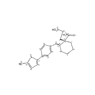 CC(C[C@@]1(C(N)=O)CCCC[C@H]1Oc1ccc(-c2ccc(C#N)s2)nc1)S(=O)(=O)O